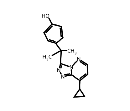 CC(C)(c1ccc(O)cc1)c1nnc2c(C3CC3)ccnn12